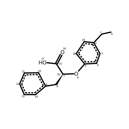 CCc1ccc(O[C@@H](Cc2ccccc2)C(=O)O)cc1